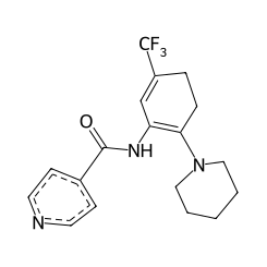 O=C(NC1=C(N2CCCCC2)CCC(C(F)(F)F)=C1)c1ccncc1